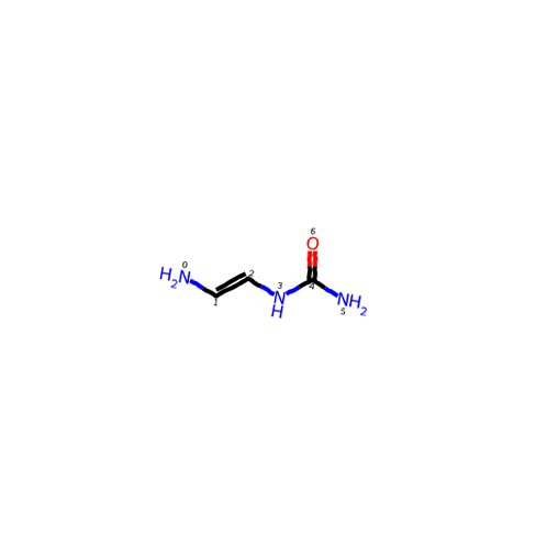 NC=CNC(N)=O